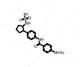 CC(=O)Nc1ccc(C(=O)Nc2ccc(C3CCCC3NS(=O)(=O)C(C)C)cc2)cc1